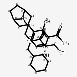 NC(=O)c1cccc(C2CC3CCC(C2)N3CCN(CC2CCCCC2)C(=O)[C@@H](O)CO)c1O